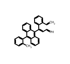 C=Cc1ccccc1/C(=C\C=P)c1c2ccccc2c(-c2ccccc2C)c2ccccc12